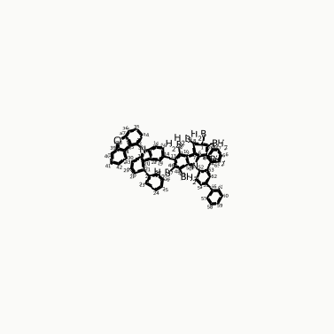 Bc1c(B)c(B)c2c(c1B)c1c(B)c(-c3ccc4c(c3)c3c(-c5ccccc5)cccc3n4-c3cccc4oc5ccccc5c34)c(B)c(B)c1n2-c1ccc(-c2ccccc2)cc1-c1ccccc1